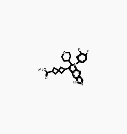 COC(=O)C1CC2(C1)CC(c1c(C3CCOCC3)n(-c3ccc(F)c(F)c3)c3cc4cn[nH]c4cc13)C2